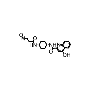 O=NCCC(=O)N[C@H]1CC[C@H](NC(=O)c2cc(O)c3ccccc3n2)CC1